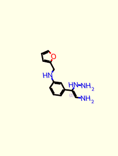 N/C=C(\NN)c1cccc(NCc2ccco2)c1